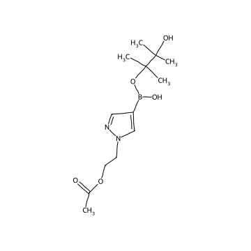 CC(=O)OCCn1cc(B(O)OC(C)(C)C(C)(C)O)cn1